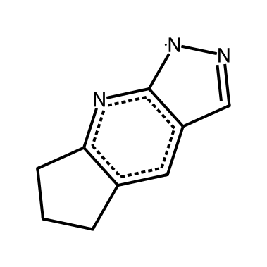 C1=N[N]c2nc3c(cc21)CCC3